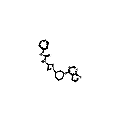 O=C(Nc1ccccc1)NC1CN(C2CCCN(c3ncnc4[nH]ccc34)C2)C1